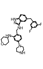 Fc1cc(F)cc(Cc2ccc3[nH]nc(NCc4ccc(N5CCNCC5)cc4NC4CCOCC4)c3c2)c1